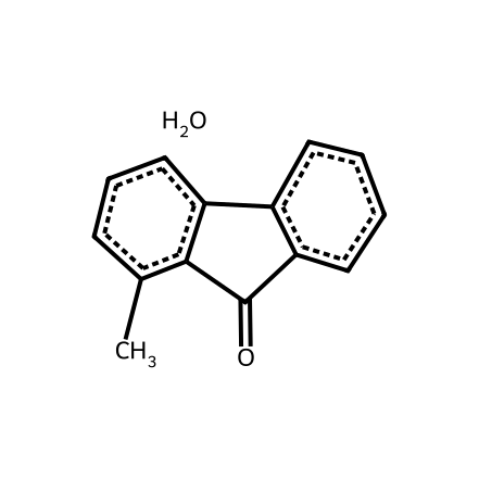 Cc1cccc2c1C(=O)c1ccccc1-2.O